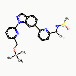 C[C@H](N[S@+]([O-])C(C)(C)C)c1cccc(-c2c[c]c3cnn(-c4cccc(CO[Si](C)(C)C(C)(C)C)n4)c3c2)n1